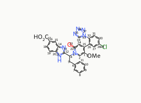 COc1cn(C(Cc2ccccc2)c2nc3cc(C(=O)O)ccc3[nH]2)c(=O)cc1-c1cc(Cl)ccc1-n1cnnn1